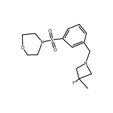 CC1(F)CN(Cc2cccc(S(=O)(=O)N3CCOCC3)c2)C1